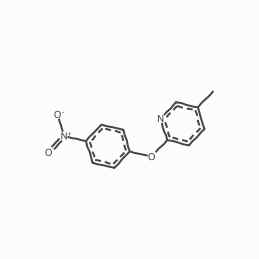 Cc1ccc(Oc2ccc([N+](=O)[O-])cc2)nc1